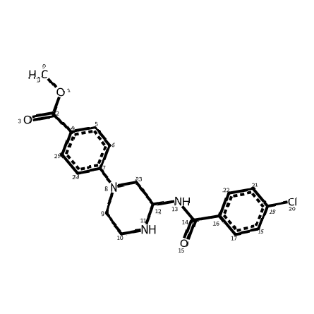 COC(=O)c1ccc(N2CCNC(NC(=O)c3ccc(Cl)cc3)C2)cc1